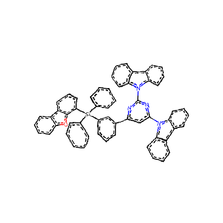 c1ccc([Si](c2ccccc2)(c2cccc(-c3cc(-n4c5ccccc5c5ccccc54)nc(-n4c5ccccc5c5ccccc54)n3)c2)c2cccc3c2oc2ccccc23)cc1